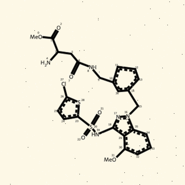 COC(=O)C(N)CC(=O)NCc1cccc(Cn2nc(NS(=O)(=O)c3ccc(Cl)s3)c3c(OC)cccc32)c1